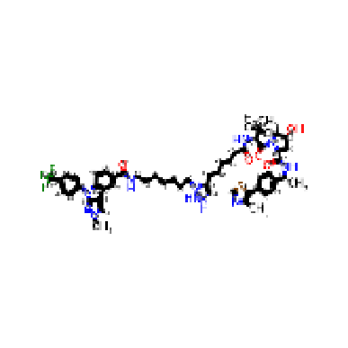 Cc1ncsc1-c1ccc([C@H](C)NC(=O)[C@@H]2C[C@@H](O)CN2C(=O)[C@@H](NC(=O)CCCCCC2=CNNN2CCCCCCCNC(=O)c2ccc3c(c2)c2cn(C)nc2n3-c2ccc(C(F)(F)F)cc2)C(C)(C)C)cc1